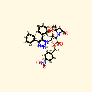 C[C@]1(Cn2nnc(-c3ccccc3)c2-c2ccccc2)[C@H](C(=O)OCc2ccc([N+](=O)[O-])cc2)N2C(=O)C[C@H]2S1(=O)=O